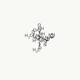 COCCCNc1nc(NC(C)COC)nc(NCCNC=O)c1N=Nc1nn(-c2ccncn2)cc1C#N